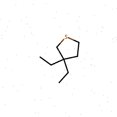 CCC1(CC)CCSC1